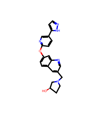 O[C@@H]1CCN(Cc2cnc3cc(Oc4ccc(-c5ccn[nH]5)cn4)ccc3c2)C1